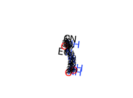 CCc1cc2c(cc1N1CCC(N3CCN(Cc4cccc(NC5CCC(=O)NC5=O)c4)CC3)CC1)C(C)(C)c1[nH]c3cc(C#N)ccc3c1C2=O